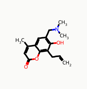 C=CCc1c(O)c(CN(C)C)cc2c(C)cc(=O)oc12